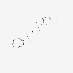 CC(C)(C)c1cccc(C(C)(C)CCC(C)(C)c2ccc(C(C)(C)C)o2)n1